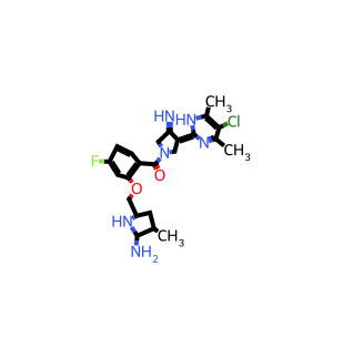 CC1=N/C(=C2\CN(C(=O)c3ccc(F)cc3OCC3CC(C)C(N)N3)CC2=N)NC(C)=C1Cl